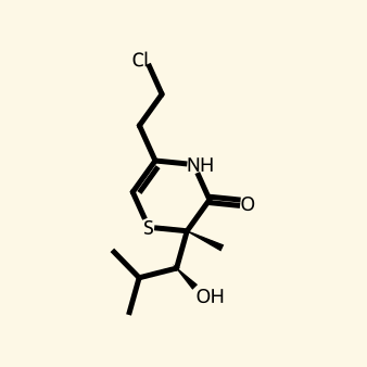 CC(C)[C@H](O)[C@]1(C)SC=C(CCCl)NC1=O